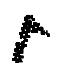 COC(=O)CN(Cc1ccc(CCCc2nc(-c3ccccc3)oc2C)cc1)C(=O)Oc1ccc(OC)cc1